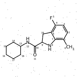 Cc1ccc(F)c2c1NC(C(=O)NC1CCCCC1)C2